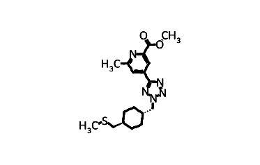 COC(=O)c1cc(-c2nnn(C[C@H]3CC[C@H](CSC)CC3)n2)cc(C)n1